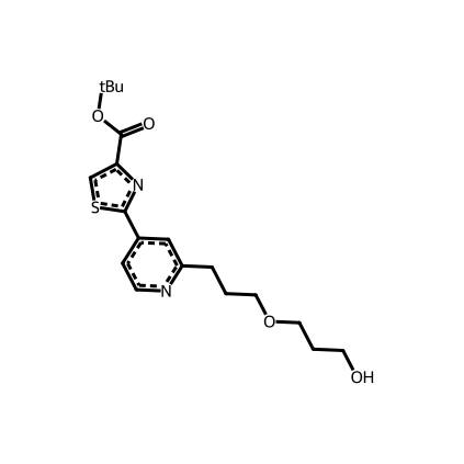 CC(C)(C)OC(=O)c1csc(-c2ccnc(CCCOCCCO)c2)n1